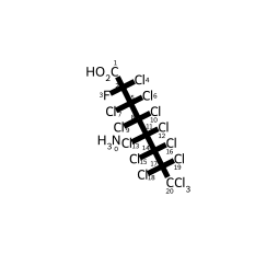 N.O=C(O)C(F)(Cl)C(Cl)(Cl)C(Cl)(Cl)C(Cl)(Cl)C(Cl)(Cl)C(Cl)(Cl)C(Cl)(Cl)Cl